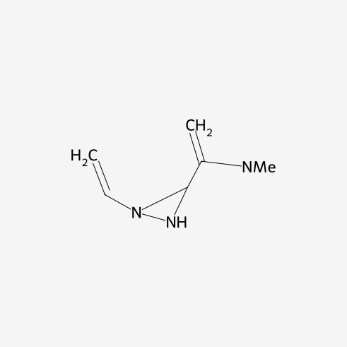 C=CN1NC1C(=C)NC